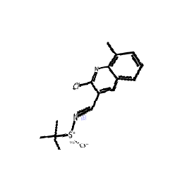 Cc1cccc2cc(/C=N/[S@+]([O-])C(C)(C)C)c(Cl)nc12